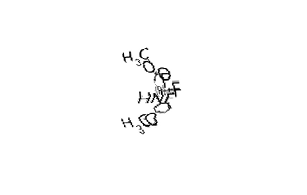 CCOC(=O)C[C@@H](Nc1cccc(OC)c1)C(F)(F)F